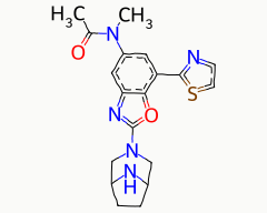 CC(=O)N(C)c1cc(-c2nccs2)c2oc(N3CC4CCC(C3)N4)nc2c1